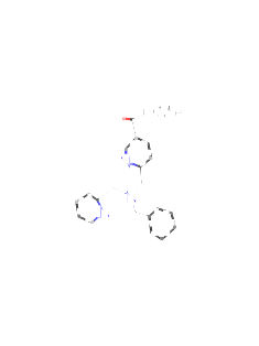 COC(=O)c1ccc(CN(Cc2ccccc2)Cc2ccccn2)nc1